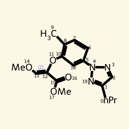 CCCc1cnn(-c2ccc(C)c(O/C(=C\OC)C(=O)OC)c2)n1